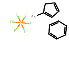 F[P-](F)(F)(F)(F)F.[Fe+][C]1=CC=CC1.c1ccccc1